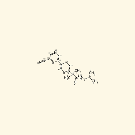 CC(C)CNC(=O)C(C)(C)N1CC=C(c2cncc(C#N)c2)CC1